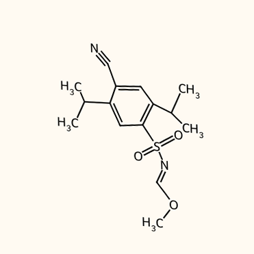 COC=NS(=O)(=O)c1cc(C(C)C)c(C#N)cc1C(C)C